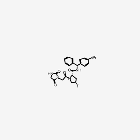 CC(C)c1ccc([C@@H](NC(=O)[C@@H]2C[C@@H](F)CN2C(=O)CN2C(=O)CNC2=O)c2ccccc2)cc1